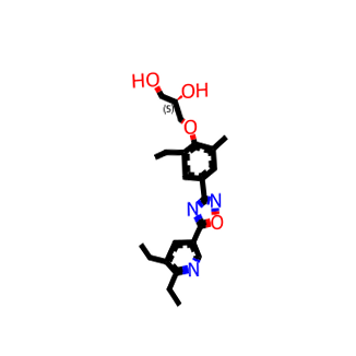 CCc1cc(-c2nc(-c3cc(C)c(OC[C@@H](O)CO)c(CC)c3)no2)cnc1CC